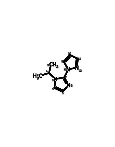 CC(C)n1ccnc1-n1cccn1